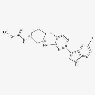 COC(=O)N[C@@H]1CCC[C@H](Nc2nc(-c3c[nH]c4ncc(F)cc34)ncc2F)C1